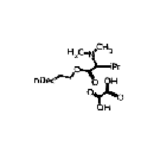 CCCCCCCCCCCCOC(=O)C(C(C)C)N(C)C.O=C(O)C(=O)O